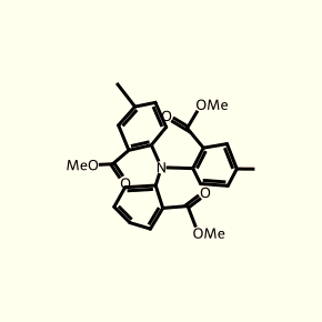 COC(=O)c1ccccc1N(c1ccc(C)cc1C(=O)OC)c1ccc(C)cc1C(=O)OC